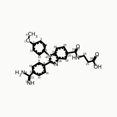 COc1ccc(-n2c(-c3ccc(C(=N)N)cc3)nc3cc(C(=O)NCCC(=O)O)ccc32)cc1